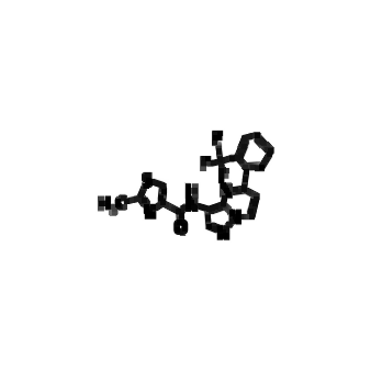 Cc1nc(C(=O)Nc2cnn3ccc(-c4ccccc4C(F)(F)F)nc23)cs1